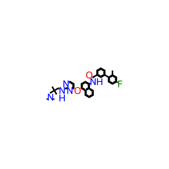 Cc1cc(F)ccc1-c1cccc(C(=O)Nc2ccc(Oc3ccnc(NCC(C)(C)CN(C)C)n3)c3ccccc23)c1